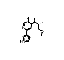 COC[C@@H](C)NC1C=C(c2cc[nH]n2)N=CN1